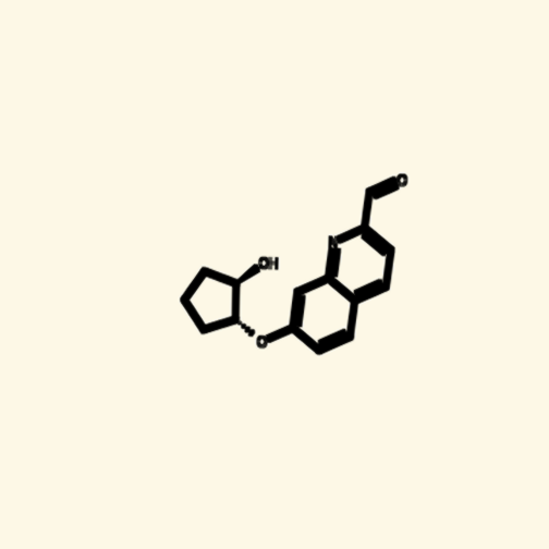 O=Cc1ccc2ccc(O[C@@H]3CCC[C@H]3O)cc2n1